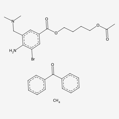 C.CC(=O)OCCCCOC(=O)c1cc(Br)c(N)c(CN(C)C)c1.O=C(c1ccccc1)c1ccccc1